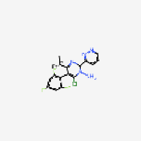 CC(C)[C@H](C)C1=NC(c2cccnn2)N(N)C(Cl)=C1c1c(F)cc(F)cc1F